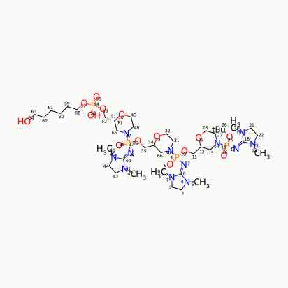 CN1CCN(C)C1=NP(=O)(OCC1CN(P(=O)(N=C2N(C)CCN2C)OC(C)(C)C)CCO1)N1CCOC(COP(=O)(N=C2N(C)CCN2C)N2CCO[C@@H](COP(=O)(O)OCCCCCCO)C2)C1